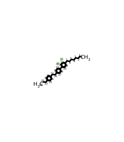 CCCCCCCCc1ccc(-c2ccc(CCc3ccc(CCC)cc3)cc2)c(F)c1F